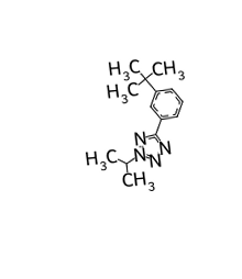 CC(C)n1nnc(-c2cccc(C(C)(C)C)c2)n1